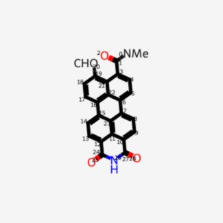 CNC(=O)c1ccc2c3ccc4c5c(ccc(c6ccc(C=O)c1c62)c53)C(=O)NC4=O